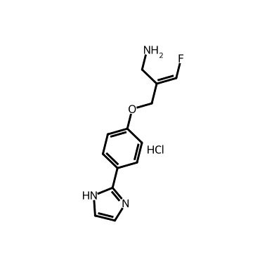 Cl.NC/C(=C\F)COc1ccc(-c2ncc[nH]2)cc1